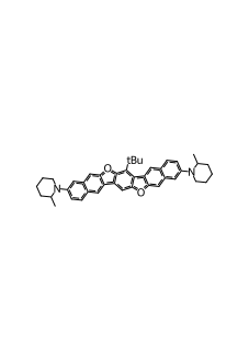 CC1CCCCN1c1ccc2cc3c(cc2c1)oc1c(C(C)(C)C)c2c(cc13)oc1cc3cc(N4CCCCC4C)ccc3cc12